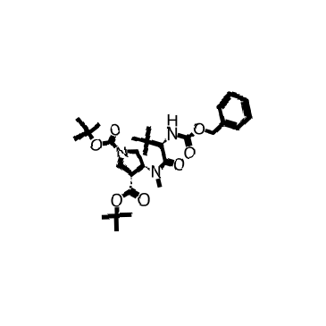 CN(C(=O)[C@@H](NC(=O)OCc1ccccc1)C(C)(C)C)[C@H]1CN(C(=O)OC(C)(C)C)C[C@H]1C(=O)OC(C)(C)C